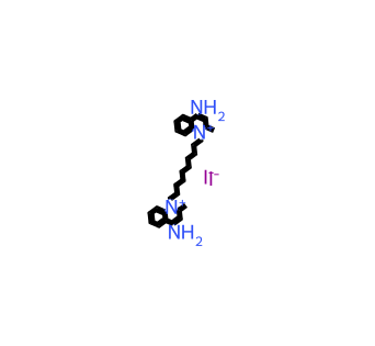 Cc1cc(N)c2ccccc2[n+]1CCCCCCCCCC[n+]1c(C)cc(N)c2ccccc21.[I-].[I-]